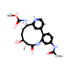 COC(=O)Nc1ccc2c(c1)NC(=O)[C@H](C)C(O)CC[C@H](NC(=O)OC(C)(C)C)c1cc-2ccn1